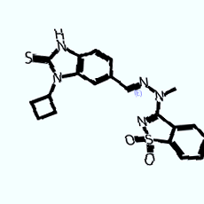 CN(/N=C/c1ccc2[nH]c(=S)n(C3CCC3)c2c1)C1=NS(=O)(=O)c2ccccc21